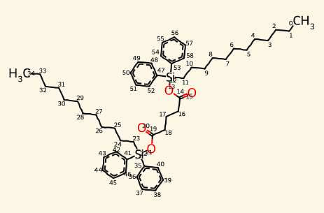 CCCCCCCCCCCC[Si](OC(=O)CCCC(=O)O[Si](CCCCCCCCCCCC)(c1ccccc1)c1ccccc1)(c1ccccc1)c1ccccc1